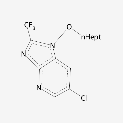 CCCCCCCOn1c(C(F)(F)F)nc2ncc(Cl)cc21